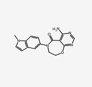 Cn1ccc2cc(N3CCOc4ncnc(N)c4C3=O)ccc21